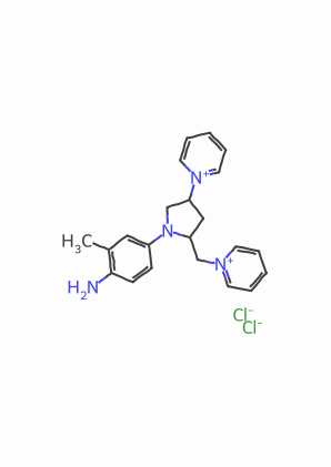 Cc1cc(N2CC([n+]3ccccc3)CC2C[n+]2ccccc2)ccc1N.[Cl-].[Cl-]